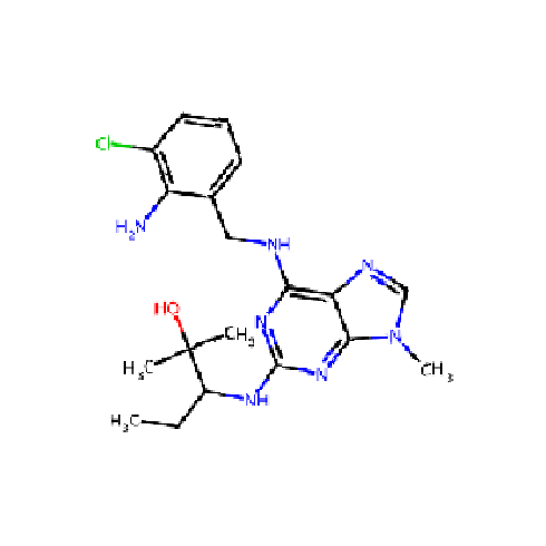 CCC(Nc1nc(NCc2cccc(Cl)c2N)c2ncn(C)c2n1)C(C)(C)O